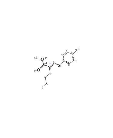 CCCC/C(=C\Sc1ccc(F)cc1)C(=O)OC